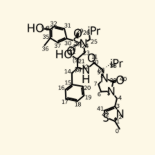 Cc1nc(CN2CCN([C@H](C(=O)N[C@@H](Cc3ccccc3)[C@@H](O)CN(CC(C)C)S(=O)(=O)c3ccc(O)c(C)c3)C(C)C)C2=O)cs1